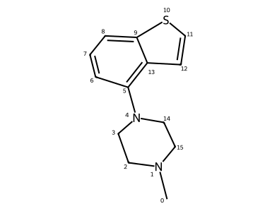 CN1CCN(c2cccc3sccc23)CC1